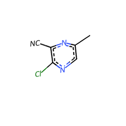 Cc1cnc(Cl)c(C#N)n1